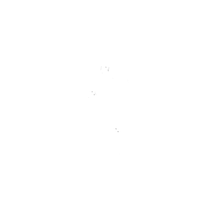 NC(=O)[C@@H](N)CCn1cccc1